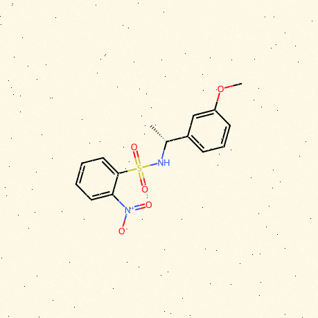 COc1cccc([C@@H](C)NS(=O)(=O)c2ccccc2[N+](=O)[O-])c1